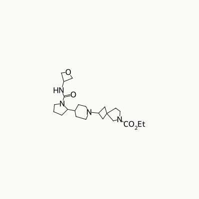 CCOC(=O)N1CCC2(CC(N3CCC(C4CCCN4C(=O)NC4COC4)CC3)C2)C1